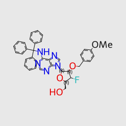 COc1ccc(CO[C@H]2C(F)[C@@H](CO)O[C@H]2n2cnc3c(NC(c4ccccc4)(c4ccccc4)c4ccccc4)ncnc32)cc1